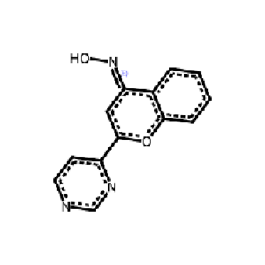 O/N=c1\cc(-c2ccncn2)oc2ccccc12